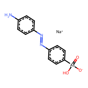 Nc1ccc(N=Nc2ccc([As](=O)([O-])O)cc2)cc1.[Na+]